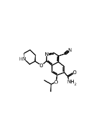 CC(C)Oc1cc2c(OC3CCCNC3)ncc(C#N)c2cc1C(N)=O